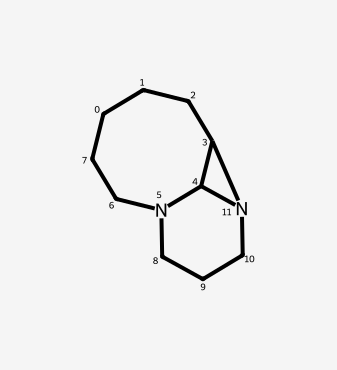 C1CCC2C3N(CC1)CCCN23